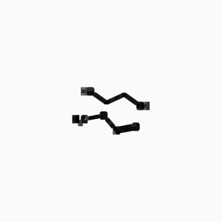 CON=O.OCCO